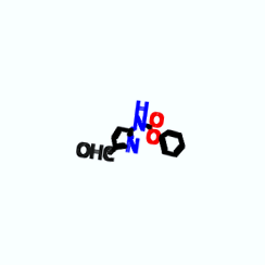 O=Cc1ccc(NC(=O)Oc2ccccc2)nc1